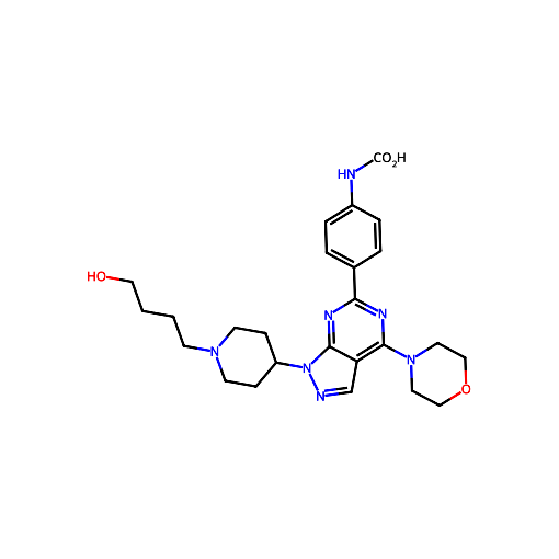 O=C(O)Nc1ccc(-c2nc(N3CCOCC3)c3cnn(C4CCN(CCCCO)CC4)c3n2)cc1